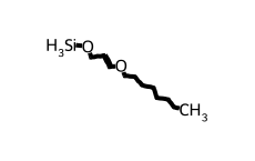 CCCCCCCCOC=CCO[SiH3]